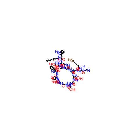 CCCCCCCCCC(=O)N[C@@H](Cc1c[nH]c2ccccc12)C(=O)N[C@H](CC(N)=O)C(=O)N[C@@H](CC(=O)O)C(=O)N[C@@H]1C(=O)NCC(=O)N[C@@H](CCCNC(=O)C[C@@H](C(=O)NCCN(C)C)N(C)C(=O)CCCCCS)C(=O)N[C@@H](CC(=O)O)C(=O)N[C@H](C)C(=O)N[C@@H](CC(=O)O)C(=O)NCC(=O)N[C@H](CO)C(=O)N[C@@H](C(C)CC(=O)O)C(=O)N[C@@H](CC(=O)c2ccccc2N)C(=O)O[C@@H]1C